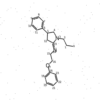 CCCN1CC(c2ccccc2)CC1=NCCOc1ccccc1